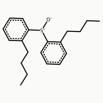 CCCCc1ccccc1[S+]([O-])c1ccccc1CCCC